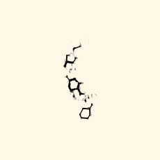 CCC(=O)N1Cc2cn(Cc3cc(C)c4c(NS(=O)(=O)CC5CCCCC5)noc4c3)nc2C1